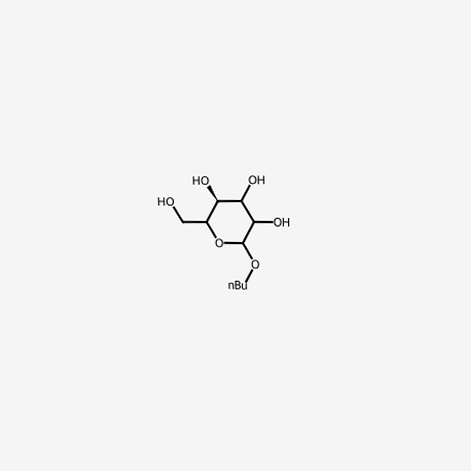 CCCCOC1OC(CO)[C@@H](O)C(O)C1O